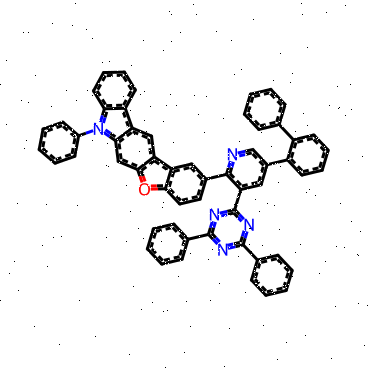 c1ccc(-c2nc(-c3ccccc3)nc(-c3cc(-c4ccccc4-c4ccccc4)cnc3-c3ccc4oc5cc6c(cc5c4c3)c3ccccc3n6-c3ccccc3)n2)cc1